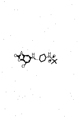 Cn1c(=O)oc2c(Cl)cc(NC[C@H]3CC[C@H](NS(=O)(=O)C(C)(C)C)CC3)cc21